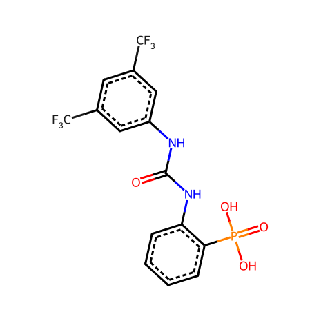 O=C(Nc1cc(C(F)(F)F)cc(C(F)(F)F)c1)Nc1ccccc1P(=O)(O)O